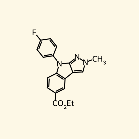 CCOC(=O)c1ccc2c(c1)c1cn(C)nc1n2-c1ccc(F)cc1